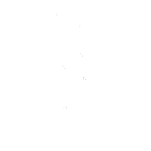 CC1(n2c(NC(=O)C[C@](C)(O)c3ccccc3)nc3cc(F)c(F)c(F)c32)CCC1